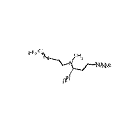 C=NCCN(C)C(CCC)CCNC